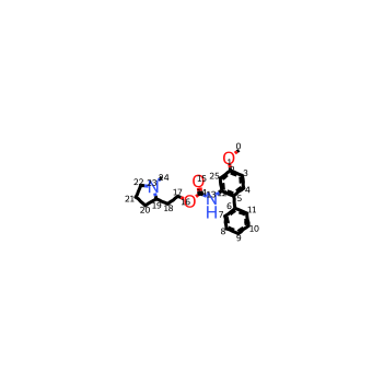 COc1ccc(-c2ccccc2)c(NC(=O)OCCC2CCCN2C)c1